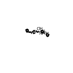 Cc1c(SCCCN2CCN(CC=Cc3ccccc3)CC2)ccnc1CSc1ccccn1.Cl